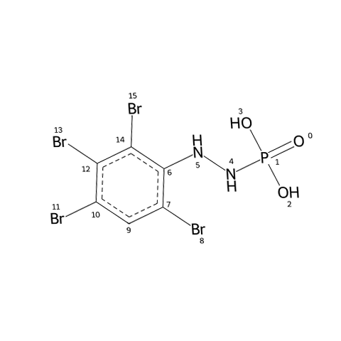 O=P(O)(O)NNc1c(Br)cc(Br)c(Br)c1Br